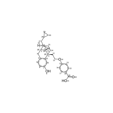 C[C@H]1[C@H]2Cc3ccc(O)cc3[C@@]1(CCOc1ccc(C(=O)O)cc1)CCN2CC1CC1